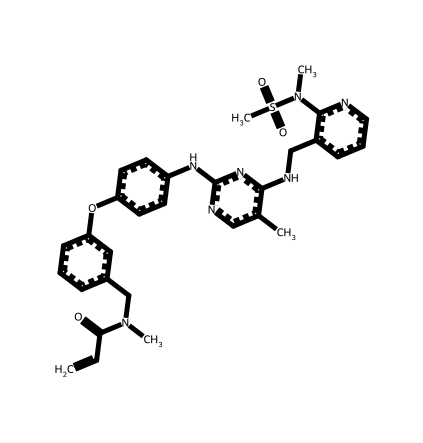 C=CC(=O)N(C)Cc1cccc(Oc2ccc(Nc3ncc(C)c(NCc4cccnc4N(C)S(C)(=O)=O)n3)cc2)c1